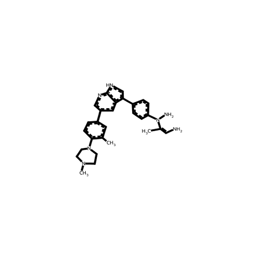 C/C(=C/N)N(N)c1ccc(-c2c[nH]c3ncc(-c4ccc(N5CCN(C)CC5)c(C)c4)cc23)cc1